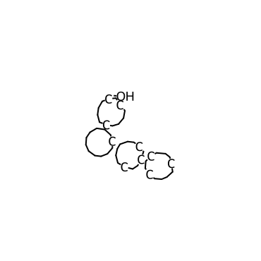 C1CCCCCCCCCCC1.C1CCCCCCCCCCC1.C1CCCCCCCCCCC1.C1CCCCCCCCCCC1.CO